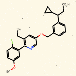 CCOc1ccc(F)c(-c2ncc(OCc3cccc(C(CC(=O)O)C4CC4)c3)cc2CC(C)(C)C)c1